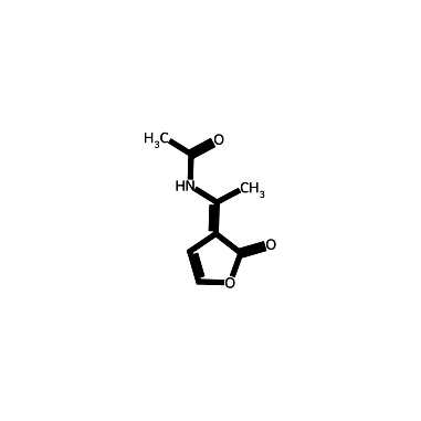 CC(=O)NC(C)=C1C=COC1=O